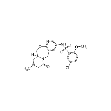 COc1ccc(Cl)cc1S(=O)(=O)Nc1cnc2c(c1)CN1C(=O)CN(C)C[C@H]1CO2